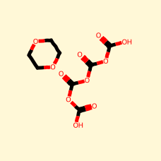 C1COCCO1.O=C(O)OC(=O)OC(=O)OC(=O)O